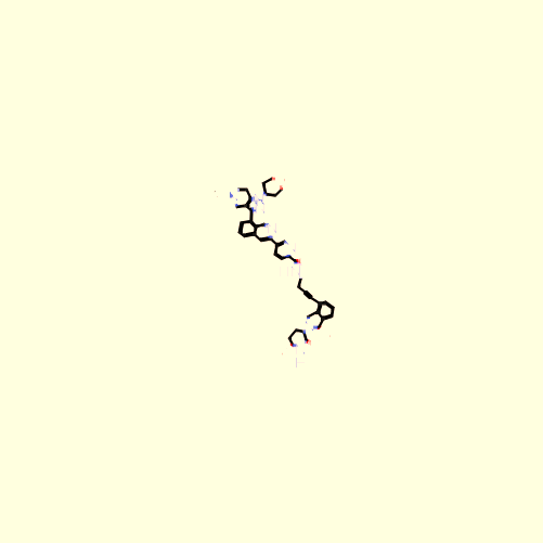 CC(=O)N1CCc2c(c(-c3cccc4cc(-c5ccc(C(=O)NCCC#Cc6cccc7c6CN(C6CCC(=O)NC6=O)C7=O)nc5)ncc34)nn2C2CCOCC2)C1